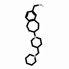 CCc1ccc2c(c1)CCC(N1CCC(CN3CCCCC3)CC1)CC2